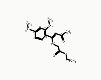 CCOC(=O)CN/C(=C\C(C)=O)c1ccc(OC)cc1OC